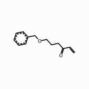 C=CC(=O)CCCOCc1ccccc1